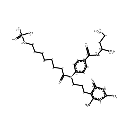 Nc1nc(N)c(CCCN(C(=O)CCCCCCCOP(=O)(O)O)c2ccc(C(=O)NC(CCC(=O)O)C(=O)O)cc2)c(=O)[nH]1